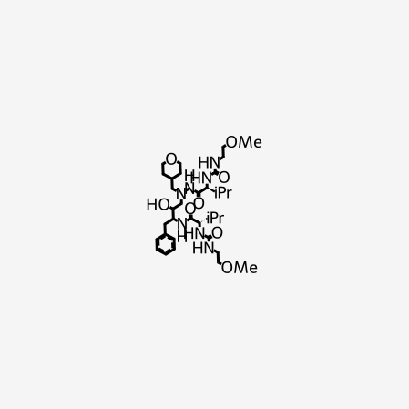 COCCNC(=O)N[C@H](C(=O)NC(Cc1ccccc1)C(O)CN(CC1CCOCC1)NC(=O)[C@@H](NC(=O)NCCOC)C(C)C)C(C)C